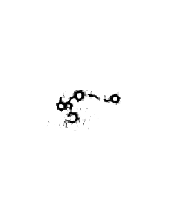 CC(=O)OC[C@H]1O[C@@H](n2cc(C(=O)c3ccc(OCCCOCc4ccccc4)cc3)c3c(C)cccc32)[C@H](OC(C)=O)[C@@H](OC(C)=O)[C@@H]1OC(C)=O